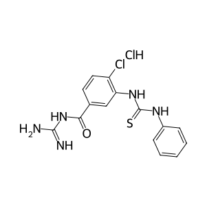 Cl.N=C(N)NC(=O)c1ccc(Cl)c(NC(=S)Nc2ccccc2)c1